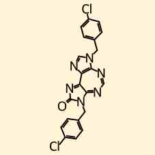 O=c1nc2c3ncn(Cc4ccc(Cl)cc4)c3ncnc-2n1Cc1ccc(Cl)cc1